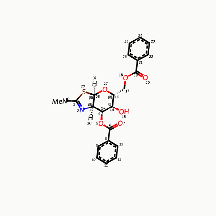 CNC1=N[C@@H]2[C@H](OC(=O)c3ccccc3)[C@H](O)[C@@H](COC(=O)c3ccccc3)O[C@@H]2S1